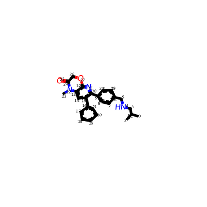 C[C](C)CNCc1ccc(-c2nc3c(cc2-c2ccccc2)N(C)C(=O)CO3)cc1